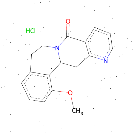 COc1cccc2c1C1Cc3ncccc3C(=O)N1CC2.Cl